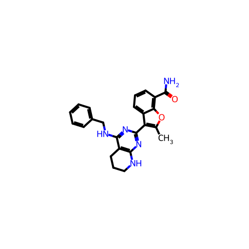 Cc1oc2c(C(N)=O)cccc2c1-c1nc2c(c(NCc3ccccc3)n1)CCCN2